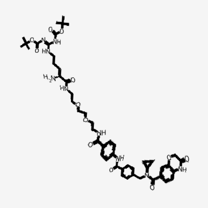 CC(C)(C)OC(=O)/N=C(\NCCC[C@H](N)C(=O)NCCOCCOCCNC(=O)c1ccc(NC(=O)c2ccc(CN(C(=O)c3ccc4c(c3)OCC(=O)N4)C3CC3)cc2)cc1)NC(=O)OC(C)(C)C